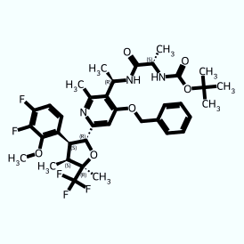 COc1c([C@H]2[C@H](c3cc(OCc4ccccc4)c([C@@H](C)NC(=O)[C@H](C)NC(=O)OC(C)(C)C)c(C)n3)O[C@@](C)(C(F)(F)F)[C@H]2C)ccc(F)c1F